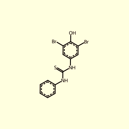 Oc1c(Br)cc(NC(=S)Nc2ccccc2)cc1Br